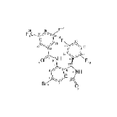 O=C(Nc1cc(Br)cc2c1[C@@H](c1cc(F)ccc1F)NC2=O)c1cc(F)cc(C(F)(F)F)c1